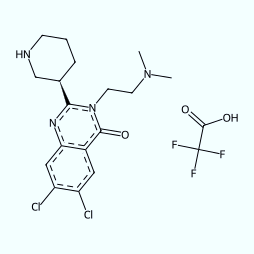 CN(C)CCn1c([C@@H]2CCCNC2)nc2cc(Cl)c(Cl)cc2c1=O.O=C(O)C(F)(F)F